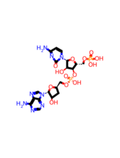 Nc1ccn([C@@H]2O[C@H](COP(=O)(O)O)[C@@H](OP(=O)(O)OC[C@H]3C[C@@H](O)[C@H](n4cnc5c(N)ncnc54)O3)[C@H]2O)c(=O)n1